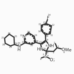 COC(C)CC1([S+](C)[O-])NC(c2ccc(F)cc2)=C(c2ccnc(NC3CCCCC3)c2)N1